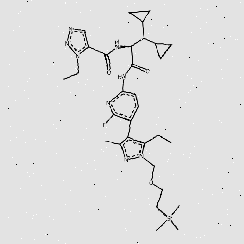 CCc1c(-c2ccc(NC(=O)[C@@H](NC(=O)c3cnnn3CC)C(C3CC3)C3CC3)nc2F)c(C)nn1COCC[Si](C)(C)C